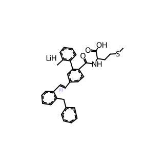 CSCCC(NC(=O)c1ccc(/C=C/c2ccccc2Cc2ccccc2)cc1-c1ccccc1C)C(=O)O.[LiH]